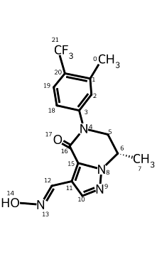 Cc1cc(N2C[C@H](C)n3ncc(/C=N/O)c3C2=O)ccc1C(F)(F)F